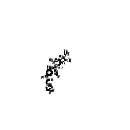 C[N+]1(C)CCN(CC(=O)NC2CCC(N/C(N)=N/C(=O)c3nc(Cl)c(N)nc3N)CC2)CC1